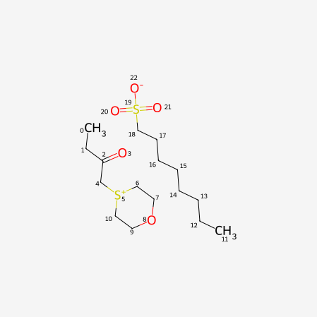 CCC(=O)C[S+]1CCOCC1.CCCCCCCCS(=O)(=O)[O-]